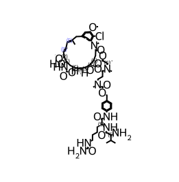 COc1cc2cc(c1Cl)N(C)C(=O)C[C@H](OC(=O)[C@H](C)N(C)C(=O)CCN(C)C(=O)OCc1ccc(NC(=O)[C@H](CCCCNC(N)=O)NC(=O)[C@@H](N)C(C)C)cc1)[C@]1(C)O[C@H]1[C@H](C)[C@@H]1C[C@@](O)(NC(=O)O1)[C@H](OC)/C=C/C=C(\C)C2